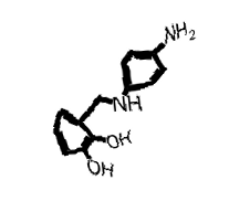 Nc1ccc(NCc2cccc(O)c2O)cc1